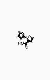 O=C(O)c1ccnn1-c1cccs1